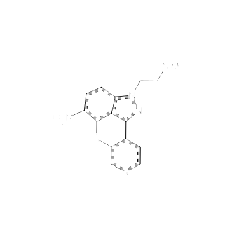 CNCCn1nc2c3c(c([N+](=O)[O-])ccc31)Sc1cnccc1-2